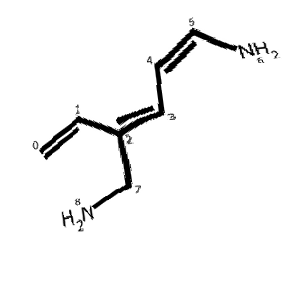 C=C/C(=C\C=C/N)CN